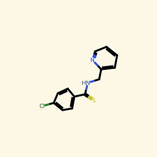 S=C(NCc1ccccn1)c1ccc(Cl)cc1